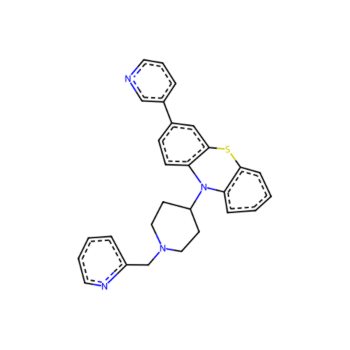 c1ccc(CN2CCC(N3c4ccccc4Sc4cc(-c5cccnc5)ccc43)CC2)nc1